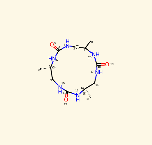 CC1CNC(=O)N[C@@H](C)CNC(=O)N[C@@H](C)CNC(=O)N1